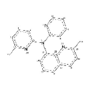 Cc1cccc(N(c2ccccn2)c2cccc3ccc(C)nc23)n1